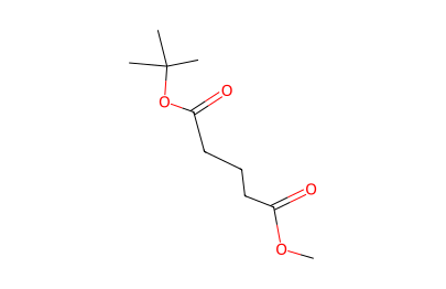 COC(=O)CCCC(=O)OC(C)(C)C